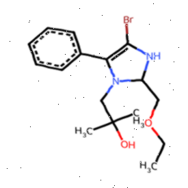 CCOCC1NC(Br)=C(c2ccccc2)N1CC(C)(C)O